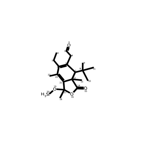 CCC1=C(CC=O)C(C(C)(C)C)C2(C)C(=O)OC(C)(O[SiH3])C2=C1C